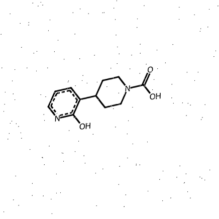 O=C(O)N1CCC(c2cccnc2O)CC1